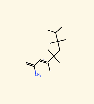 C=C(N)/C=C(\C)C(C)(C)CC(C)(C)C(C)C